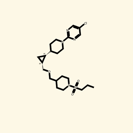 CCCS(=O)(=O)N1CCC(COC[C@@H]2C[C@@H]2C2CCN(c3ncc(Cl)cn3)CC2)CC1